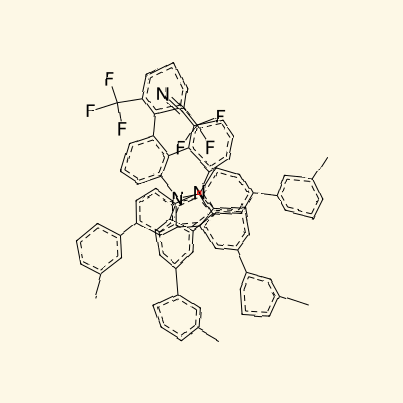 Cc1cccc(-c2ccc3c(c2)c2cc(-c4cccc(C)c4)ccc2n3-c2cccc(C#N)c2-c2c(-c3c(C(F)(F)F)cccc3C(F)(F)F)cccc2-n2c3ccc(-c4cccc(C)c4)cc3c3cc(-c4cccc(C)c4)ccc32)c1